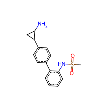 CS(=O)(=O)Nc1ccccc1-c1ccc(C2CC2N)cc1